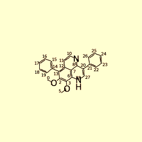 COc1c(OC)c2c3c(nccc3c1-c1ccccc1)C(c1ccccc1)=CN2